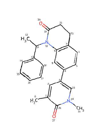 Cc1cc(-c2ccc3c(c2)N(C(C)c2ccccc2)C(=O)CC3)cn(C)c1=O